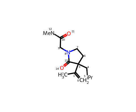 C=C(C)C1(CC(C)C)CCN(CC(=O)NC)C1=O